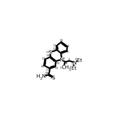 CCN(CC)CC(C)N1c2ccccc2Sc2ccc(C(N)=S)cc21